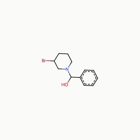 OC(c1ccccc1)N1CCCC(Br)C1